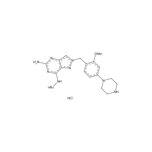 CCCCNc1nc(N)nc2cn(Cc3ccc(N4CCNCC4)cc3OC)nc12.Cl